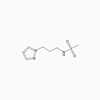 CS(=O)(=O)NCCCn1c[c]cn1